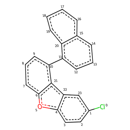 Clc1ccc2oc3cccc(-c4cccc5ccccc45)c3c2c1